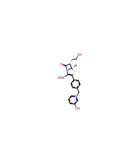 O=C([O-])C1=C(c2ccc(C[n+]3cccc(O)c3)cc2)S[C@@H]2[C@@H](CCO)C(=O)N12